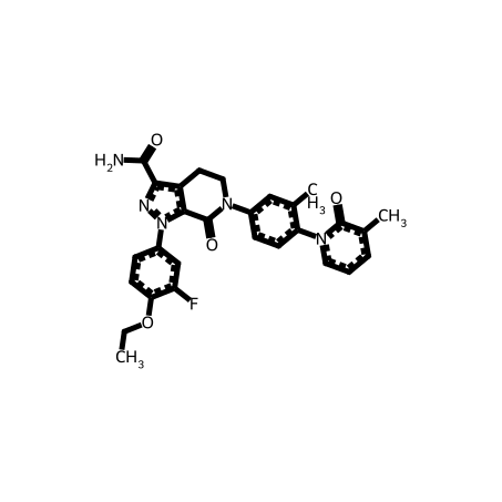 CCOc1ccc(-n2nc(C(N)=O)c3c2C(=O)N(c2ccc(-n4cccc(C)c4=O)c(C)c2)CC3)cc1F